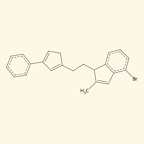 CC1=Cc2c(Br)cccc2C1CCC1=CC(c2ccccc2)=CC1